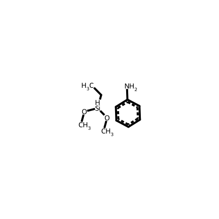 CC[SiH](OC)OC.Nc1ccccc1